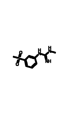 CNC(=N)Nc1cccc(S(C)(=O)=O)c1